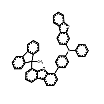 CC1(c2cccc3c2oc2c(-c4ccc(N(c5ccccc5)c5ccc6c(c5)sc5ccccc56)cc4)cccc23)c2ccccc2-c2ccccc21